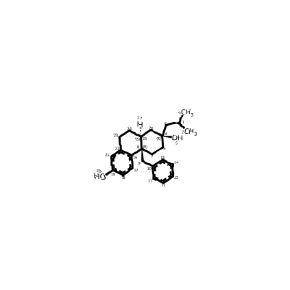 CC(C)C[C@]1(O)CC[C@]2(Cc3ccccc3)c3ccc(O)cc3CC[C@H]2C1